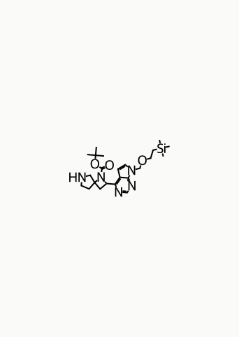 CC(C)(C)OC(=O)N1C(c2ncnc3c2ccn3COCC[Si](C)(C)C)CC12CCNC2